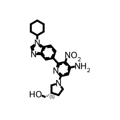 Nc1cc(N2CC[C@H](CO)C2)nc(-c2ccc3c(c2)ncn3C2CCCCC2)c1[N+](=O)[O-]